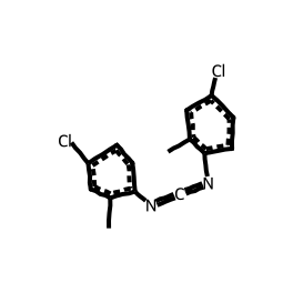 Cc1cc(Cl)ccc1N=C=Nc1ccc(Cl)cc1C